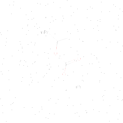 [CH2][C@@H](C)OC(=O)OC(C)CCC